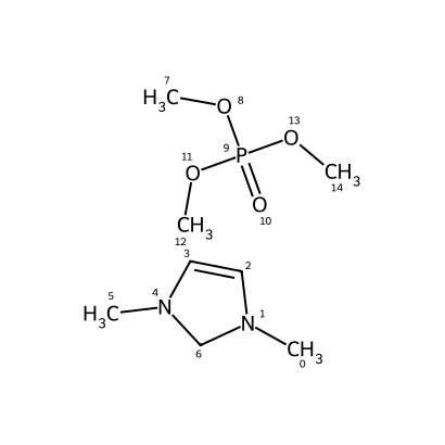 CN1C=CN(C)C1.COP(=O)(OC)OC